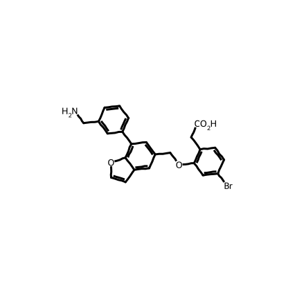 NCc1cccc(-c2cc(COc3cc(Br)ccc3CC(=O)O)cc3ccoc23)c1